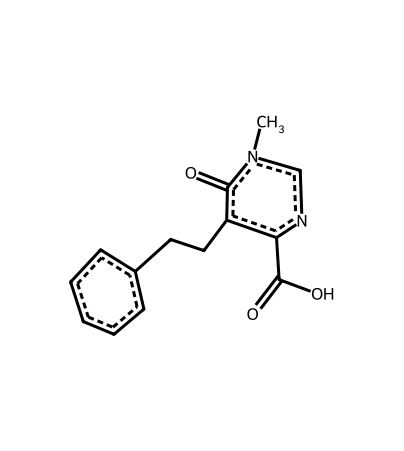 Cn1cnc(C(=O)O)c(CCc2ccccc2)c1=O